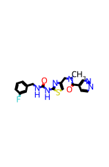 CN(Cc1csc(NC(=O)NCc2cccc(F)c2)n1)C(=O)c1ccnnc1